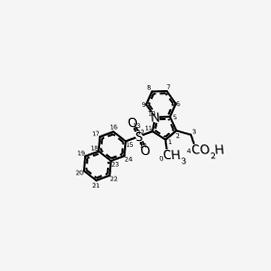 Cc1c(CC(=O)O)c2ccccn2c1S(=O)(=O)c1ccc2ccccc2c1